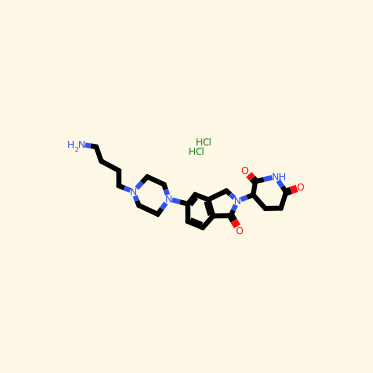 Cl.Cl.NCCCCN1CCN(c2ccc3c(c2)CN(C2CCC(=O)NC2=O)C3=O)CC1